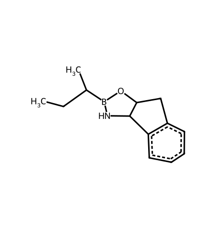 CCC(C)B1NC2c3ccccc3CC2O1